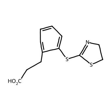 O=C(O)CCc1ccccc1SC1=NCCS1